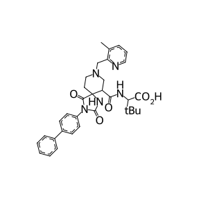 Cc1cccnc1CN1CCC2(NC(=O)N(c3ccc(-c4ccccc4)cc3)C2=O)C(C(=O)NC(C(=O)O)C(C)(C)C)C1